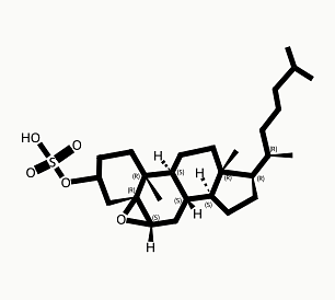 CC(C)CCC[C@@H](C)[C@H]1CC[C@H]2[C@@H]3C[C@@H]4O[C@@]45CC(OS(=O)(=O)O)CC[C@]5(C)[C@H]3CC[C@]12C